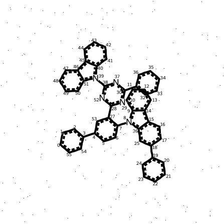 c1ccc(-c2ccc(-n3c4ccccc4c4ccc(-c5ccccc5)cc43)c(-c3nc(-c4ccccc4)nc(-n4c5ccccc5c5ccccc54)n3)c2)cc1